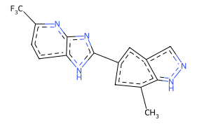 Cc1cc(-c2nc3nc(C(F)(F)F)ccc3[nH]2)cc2cn[nH]c12